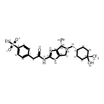 CCS(=O)(=O)c1ccc(CC(=O)Nc2nc3c(s2)CN(C[C@H]2CC[C@](O)(C(F)(F)F)CC2)[C@H]3C(C)C)cc1